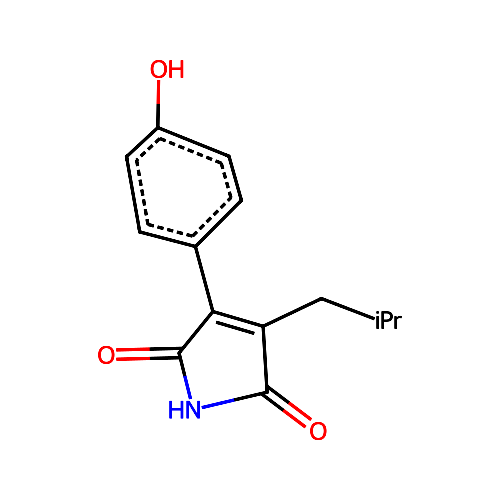 CC(C)CC1=C(c2ccc(O)cc2)C(=O)NC1=O